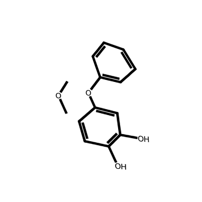 COC.Oc1ccc(Oc2ccccc2)cc1O